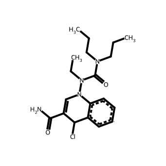 CCCN(CCC)C(=O)N(CC)N1C=C(C(N)=O)C(Cl)c2c[c]ccc21